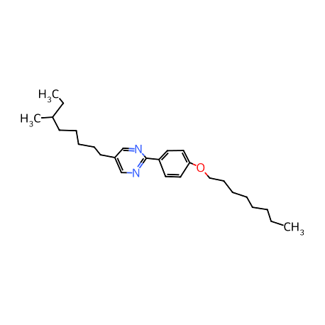 CCCCCCCCOc1ccc(-c2ncc(CCCCCC(C)CC)cn2)cc1